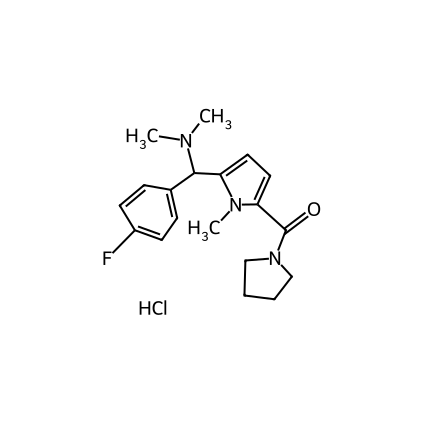 CN(C)C(c1ccc(F)cc1)c1ccc(C(=O)N2CCCC2)n1C.Cl